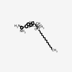 CCCCCCCCCCCCCCCCCCOC(=O)C(CC(C)[C@H]1CC[C@H]2[C@@H]3CCC4CC(c5cc(N)cc(N)c5)CC[C@]4(C)[C@H]3CC[C@]12C)OC